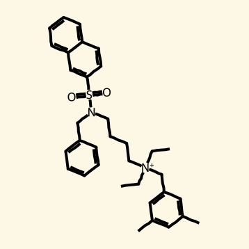 CC[N+](CC)(CCCCN(Cc1ccccc1)S(=O)(=O)c1ccc2ccccc2c1)Cc1cc(C)cc(C)c1